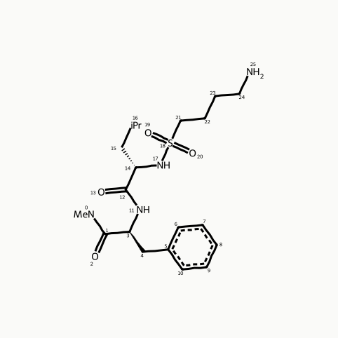 CNC(=O)[C@H](Cc1ccccc1)NC(=O)[C@H](CC(C)C)NS(=O)(=O)CCCCN